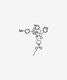 CCCCOC(=O)N1CCC(CN2C(=O)C(Cc3ccncc3)(Cc3ccncc3)N/C2=C\C(=O)c2ccc(C#N)cc2)C1